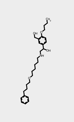 CCCCOc1ccc(C(O)CNCCCCCCOCCCCc2ccccc2)cc1CO